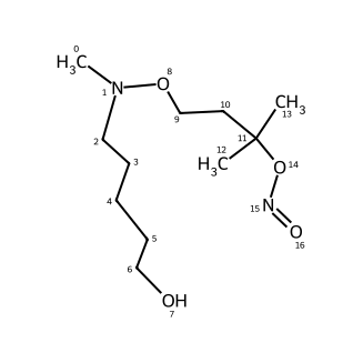 CN(CCCCCO)OCCC(C)(C)ON=O